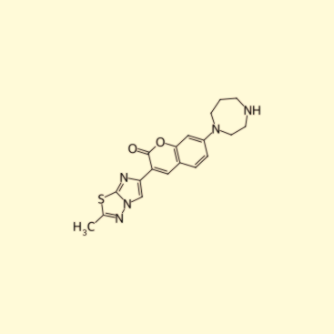 Cc1nn2cc(-c3cc4ccc(N5CCCNCC5)cc4oc3=O)nc2s1